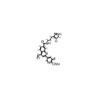 CCOc1cc(-c2cnc(OC)c(F)c2)nc2cc(C(=O)NCCCC3=NNCN3)ccc12